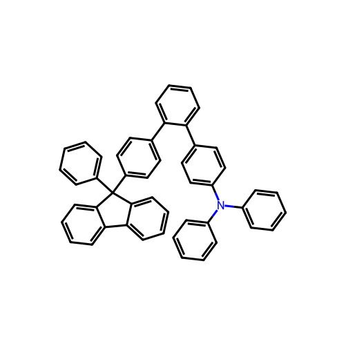 c1ccc(N(c2ccccc2)c2ccc(-c3ccccc3-c3ccc(C4(c5ccccc5)c5ccccc5-c5ccccc54)cc3)cc2)cc1